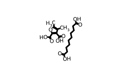 Cc1oc(C(=O)O)c(C(=O)O)c1C.O=C(O)CCCCCCCCC(=O)O